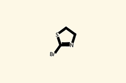 BrC1=NC[CH]S1